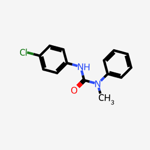 CN(C(=O)Nc1ccc(Cl)cc1)c1ccccc1